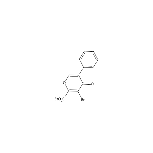 CCOC(=O)c1occ(-c2ccccc2)c(=O)c1Br